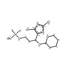 CC(C)(C)[Si](C)(C)OCCC(OC1CCCCO1)c1sc(Cl)nc1Cl